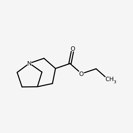 CCOC(=O)C1CC2CCN(C2)C1